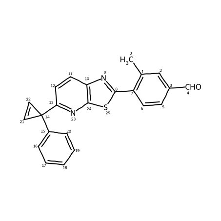 Cc1cc(C=O)ccc1-c1nc2ccc(C3(c4ccccc4)C=C3)nc2s1